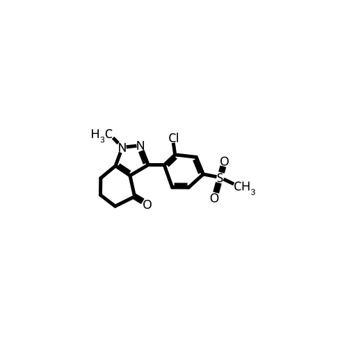 Cn1nc(-c2ccc(S(C)(=O)=O)cc2Cl)c2c1CCCC2=O